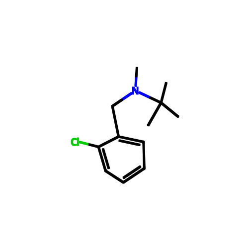 CN(Cc1ccccc1Cl)C(C)(C)C